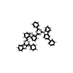 c1ccc(-c2ccc3c(c2)c2ccccc2n3-c2nc(-c3ccccc3)nc(-c3cccc4c3oc3cccc(-c5nc(-c6ccccc6)c6sc7ccccc7c6n5)c34)n2)cc1